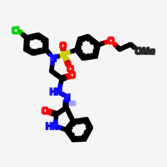 COCCOc1ccc(S(=O)(=O)N(CC(=O)N/N=C2\C(=O)Nc3ccccc32)c2ccc(Cl)cc2)cc1